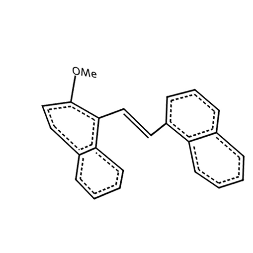 COc1ccc2ccccc2c1C=Cc1cccc2ccccc12